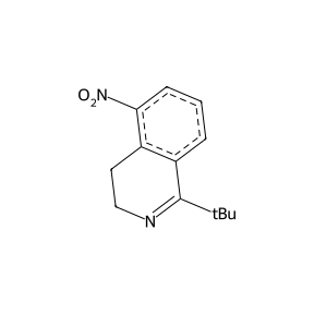 CC(C)(C)C1=NCCc2c1cccc2[N+](=O)[O-]